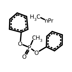 CCCC.CP(=O)(Oc1ccccc1)Oc1ccccc1